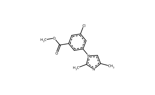 COC(=O)c1cc(Cl)cc(-n2cc(C)nc2C)c1